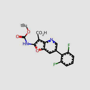 CC(C)(C)OC(=O)Nc1oc2cc(-c3c(F)cccc3F)cnc2c1C(=O)O